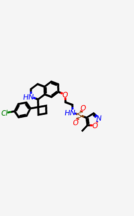 Cc1oncc1S(=O)(=O)NCCOc1ccc2c(c1)C(C1(c3ccc(Cl)cc3)CCC1)NCC2